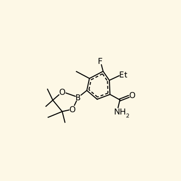 CCc1c(C(N)=O)cc(B2OC(C)(C)C(C)(C)O2)c(C)c1F